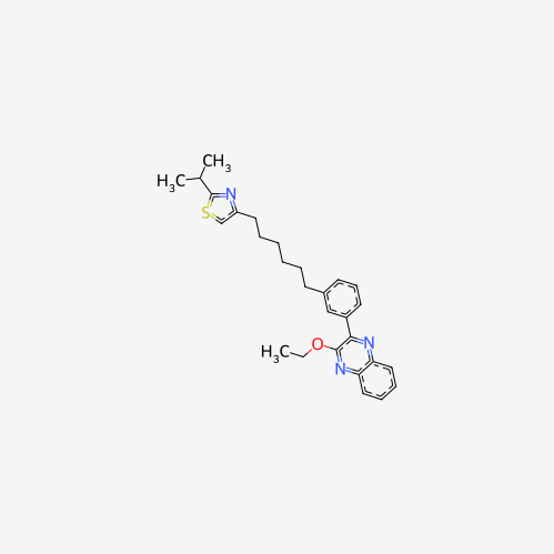 CCOc1nc2ccccc2nc1-c1cccc(CCCCCCc2csc(C(C)C)n2)c1